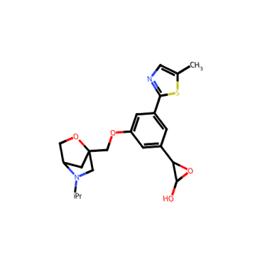 Cc1cnc(-c2cc(OCC34CC(CO3)N(C(C)C)C4)cc(C3OC3O)c2)s1